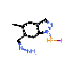 Cc1cc2cnn(PI)c2cc1/C=N\N